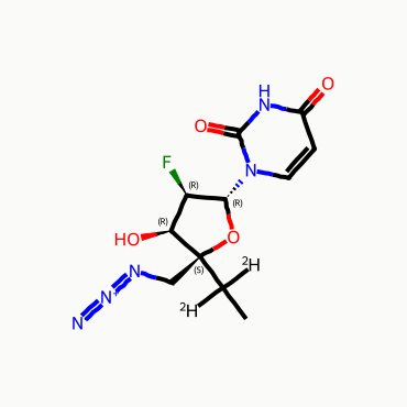 [2H]C([2H])(C)[C@@]1(CN=[N+]=[N-])O[C@@H](n2ccc(=O)[nH]c2=O)[C@H](F)[C@@H]1O